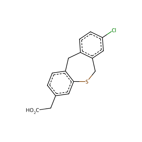 O=C(O)Cc1ccc2c(c1)SCc1cc(Cl)ccc1C2